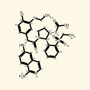 CCOc1cc([C@@H](Nc2ccc3c(N)nccc3c2)C(=O)N2CC[C@H](OC(=O)O)[C@H]2c2ccccc2S(=O)(=O)CC)ccc1Cl